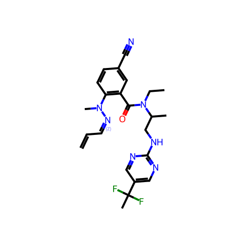 C=C/C=N\N(C)c1ccc(C#N)cc1C(=O)N(CC)C(C)CNc1ncc(C(C)(F)F)cn1